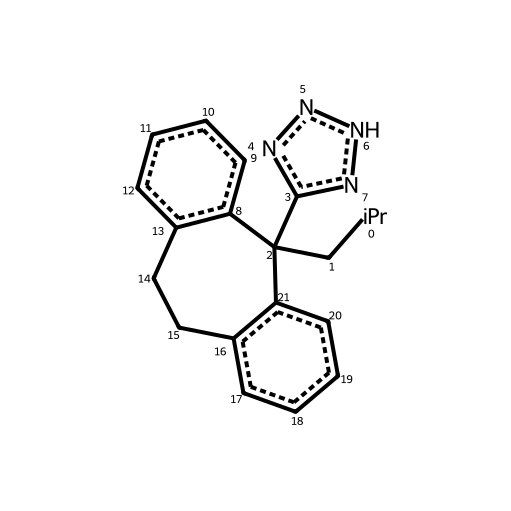 CC(C)CC1(c2nn[nH]n2)c2ccccc2CCc2ccccc21